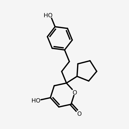 O=C1C=C(O)CC(CCc2ccc(O)cc2)(C2CCCC2)O1